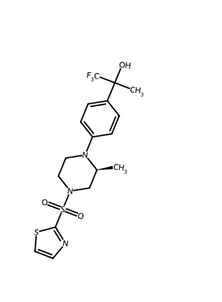 C[C@H]1CN(S(=O)(=O)c2nccs2)CCN1c1ccc(C(C)(O)C(F)(F)F)cc1